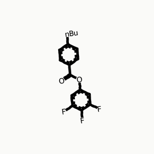 CCCCc1ccc(C(=O)Oc2cc(F)c(F)c(F)c2)cc1